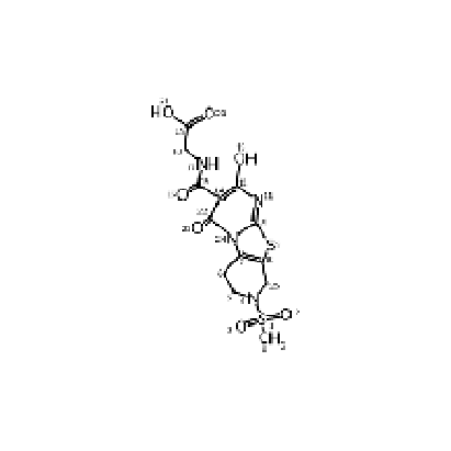 CS(=O)(=O)N1CCc2c(sc3nc(O)c(C(=O)NCC(=O)O)c(=O)n23)C1